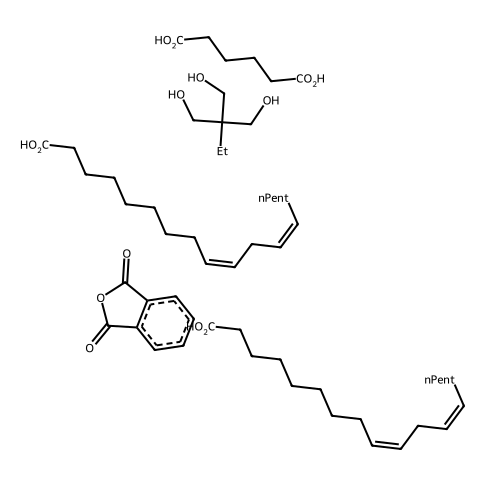 CCC(CO)(CO)CO.CCCCC/C=C\C/C=C\CCCCCCCC(=O)O.CCCCC/C=C\C/C=C\CCCCCCCC(=O)O.O=C(O)CCCCC(=O)O.O=C1OC(=O)c2ccccc21